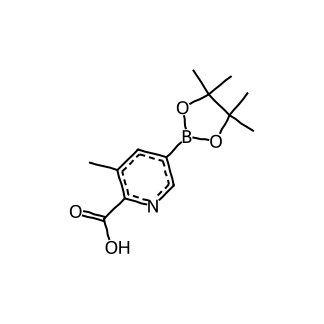 Cc1cc(B2OC(C)(C)C(C)(C)O2)cnc1C(=O)O